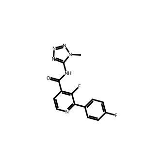 Cn1nnnc1NC(=O)c1ccnc(-c2ccc(F)cc2)c1F